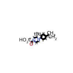 C=C(C)c1ccc(N2CCN(C(=O)C(=O)O)CC2)c(C(C)(C)C)c1